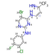 N=C(/C=C\Nc1nc(Nc2ccc(F)c(Cl)c2)ncc1Br)C(F)(F)F